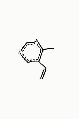 C=Cc1cncnc1C